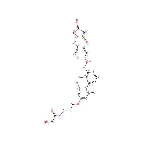 Cc1cc(OCCCNC(=O)CO)cc(C)c1-c1cccc(COc2ccc(Cn3oc(=O)[nH]c3=O)cc2)c1C